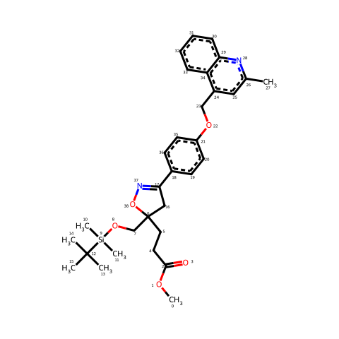 COC(=O)CCC1(CO[Si](C)(C)C(C)(C)C)CC(c2ccc(OCc3cc(C)nc4ccccc34)cc2)=NO1